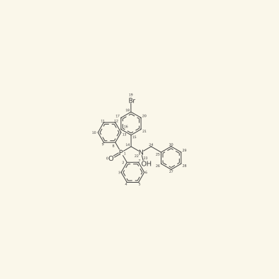 O=P(c1ccccc1)(c1ccccc1)C(c1ccc(Br)cc1)N(O)Cc1ccccc1